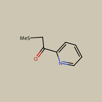 CSCC(=O)c1ccccn1